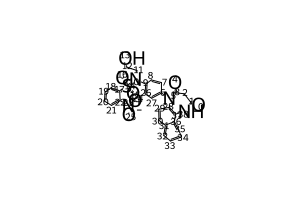 O=C1CC(=O)N(c2ccc(N(CCO)S(=O)(=O)c3ccccc3[N+](=O)[O-])cc2)c2ccc3ccccc3c2N1